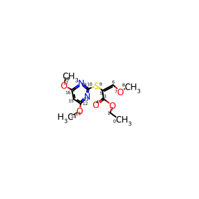 CCOC(=O)C(=COC)Sc1nc(OC)cc(OC)n1